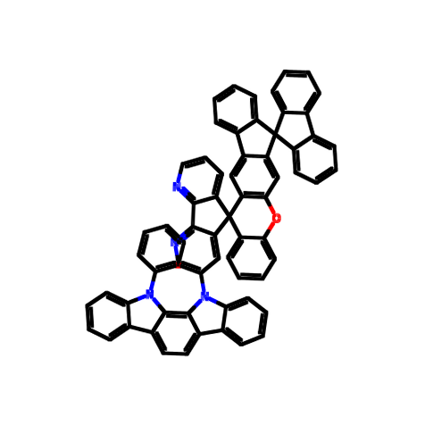 c1ccc(-n2c3ccccc3c3ccc4c5ccccc5n(-c5cnc6c(c5)C5(c7ccccc7Oc7cc8c(cc75)-c5ccccc5C85c7ccccc7-c7ccccc75)c5cccnc5-6)c4c32)cc1